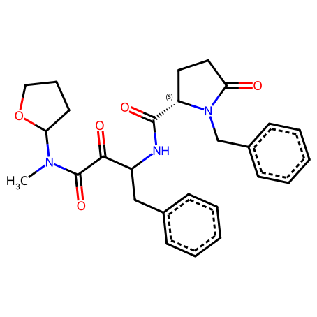 CN(C(=O)C(=O)C(Cc1ccccc1)NC(=O)[C@@H]1CCC(=O)N1Cc1ccccc1)C1CCCO1